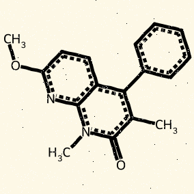 COc1ccc2c(-c3ccccc3)c(C)c(=O)n(C)c2n1